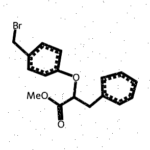 COC(=O)C(Cc1ccccc1)Oc1ccc(CBr)cc1